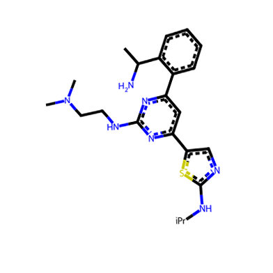 CC(C)Nc1ncc(-c2cc(-c3ccccc3C(C)N)nc(NCCN(C)C)n2)s1